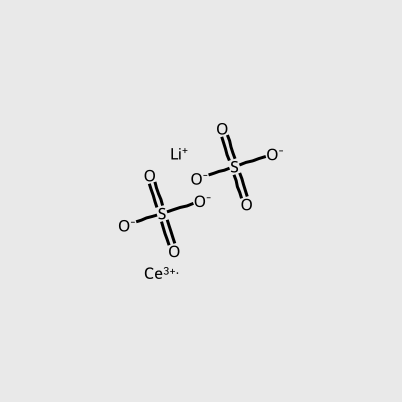 O=S(=O)([O-])[O-].O=S(=O)([O-])[O-].[Ce+3].[Li+]